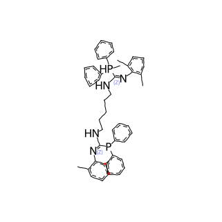 Cc1cccc(C)c1/N=C(/NCCCCCN/C(=N/c1c(C)cccc1C)[PH](C)(c1ccccc1)c1ccccc1)P(c1ccccc1)c1ccccc1